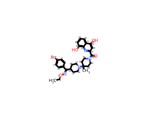 CCO/N=C(\c1ccc(Br)cc1)C1CCN(C2(C)CCN(C(=O)c3cc(O)c4cccc(O)c4n3)CC2)CC1